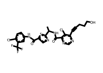 CC(NC(=O)c1ncnc(C#CCCCO)c1Cl)c1ncc(C(=O)Nc2ccc(Cl)c(C(F)(F)F)c2)s1